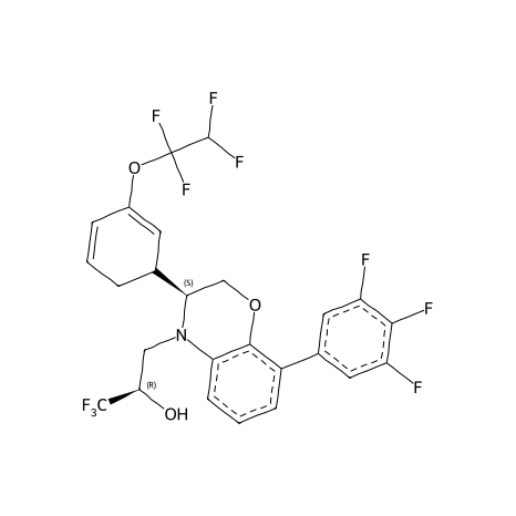 O[C@H](CN1c2cccc(-c3cc(F)c(F)c(F)c3)c2OC[C@@H]1C1C=C(OC(F)(F)C(F)F)C=CC1)C(F)(F)F